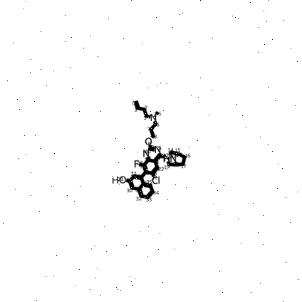 C=CCCN(C)CCCOc1nc(N2CC3CCC(C2)N3)c2cc(Cl)c(-c3cc(O)cc4ccccc34)c(F)c2n1